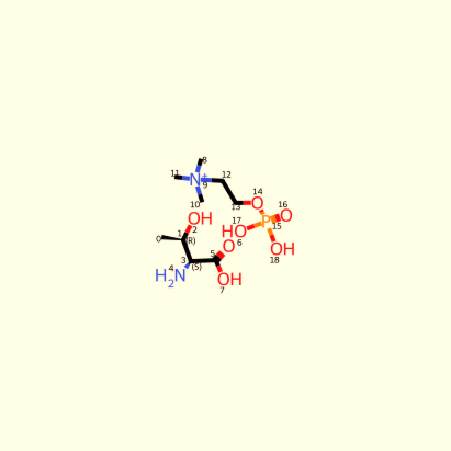 C[C@@H](O)[C@H](N)C(=O)O.C[N+](C)(C)CCOP(=O)(O)O